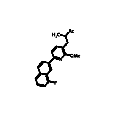 COc1nc(-c2ccc3cccc(F)c3c2)ccc1CC(C)C(C)=O